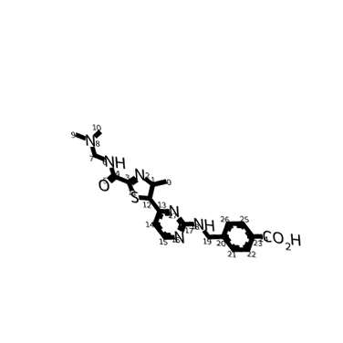 CC1N=C(C(=O)NCN(C)C)SC1c1ccnc(NCc2ccc(C(=O)O)cc2)n1